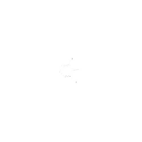 Nc1ccnc(N)c1O